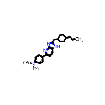 C=CC=C1CCC(Cc2nc3nc(-c4ccc(N(CCC)CCC)cc4)ccc3[nH]2)CC1